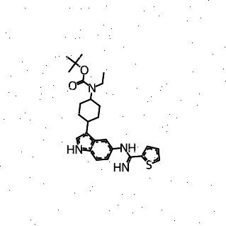 CCN(C(=O)OC(C)(C)C)C1CCC(c2c[nH]c3ccc(NC(=N)c4cccs4)cc23)CC1